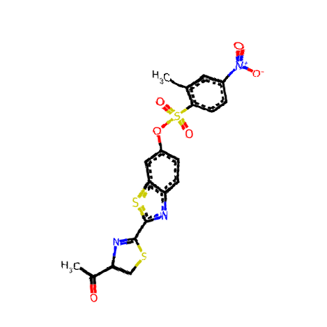 CC(=O)C1CSC(c2nc3ccc(OS(=O)(=O)c4ccc([N+](=O)[O-])cc4C)cc3s2)=N1